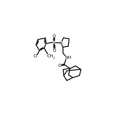 Cc1c(Cl)cccc1S(=O)(=O)N1CCCC1CNC(=O)C12CC3CC(CC(C3)C1)C2